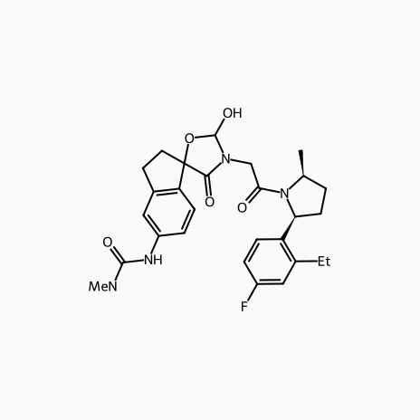 CCc1cc(F)ccc1[C@@H]1CC[C@H](C)N1C(=O)CN1C(=O)C2(CCc3cc(NC(=O)NC)ccc32)OC1O